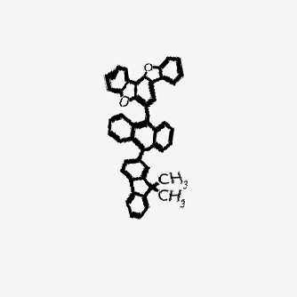 CC1(C)c2ccccc2-c2ccc(-c3c4ccccc4c(-c4cc5c6ccccc6oc5c5c4oc4ccccc45)c4ccccc34)cc21